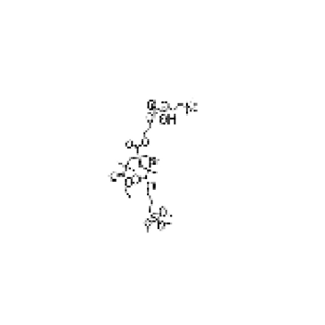 CCOC(=O)C(C)(C)CC(C)(CC(C)(Br)C(=O)OCCC[Si](OC)(OC)OC)C(=O)OCCOP(=O)(O)OCC[N+](C)(C)C